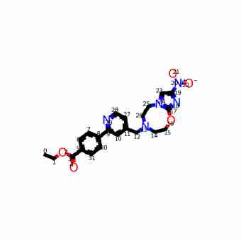 CCOC(=O)c1ccc(-c2cc(CN3CCOc4nc([N+](=O)[O-])cn4CC3)ccn2)cc1